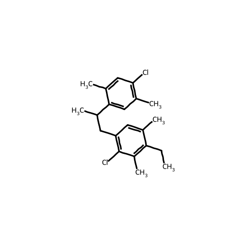 CCc1c(C)cc(CC(C)c2cc(C)c(Cl)cc2C)c(Cl)c1C